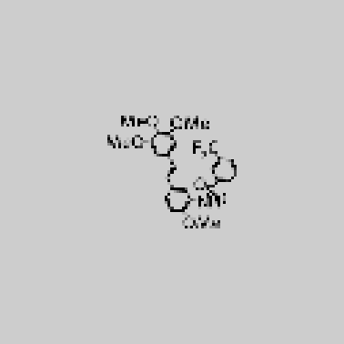 COc1ccc(C=Cc2cc(OC)c(OC)c(OC)c2)cc1NS(=O)(=O)c1cccc(C(F)(F)F)c1